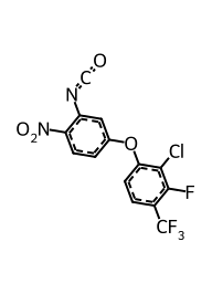 O=C=Nc1cc(Oc2ccc(C(F)(F)F)c(F)c2Cl)ccc1[N+](=O)[O-]